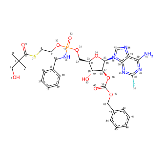 CC(C)(CO)C(=O)SCCOP(=O)(NCc1ccccc1)OC[C@H]1O[C@@H](n2cnc3c(N)nc(F)nc32)[C@@H](OC(=O)OCc2ccccc2)[C@@H]1O